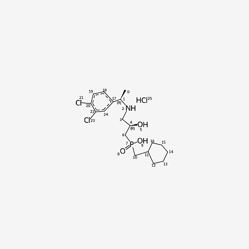 C[C@@H](NC[C@@H](O)CP(=O)(O)CC1CCCCC1)c1ccc(Cl)c(Cl)c1.Cl